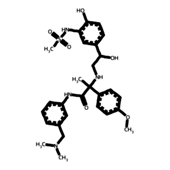 COc1ccc(C(C)(NCC(O)c2ccc(O)c(NS(C)(=O)=O)c2)C(=O)Nc2cccc(CN(C)C)c2)cc1